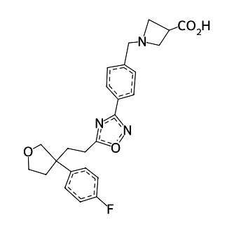 O=C(O)C1CN(Cc2ccc(-c3noc(CCC4(c5ccc(F)cc5)CCOC4)n3)cc2)C1